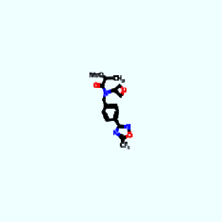 COC(C)C(=O)N(Cc1ccc(-c2noc(C(F)(F)F)n2)cc1)C1COC1